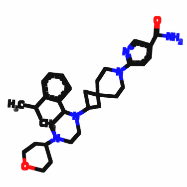 CC(C)c1ccccc1C1CN(C2CCOCC2)CCN1C1CC2(CCN(c3ccc(C(N)=O)cn3)CC2)C1